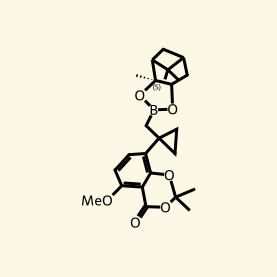 COc1ccc(C2(CB3OC4CC5CC(C5(C)C)[C@]4(C)O3)CC2)c2c1C(=O)OC(C)(C)O2